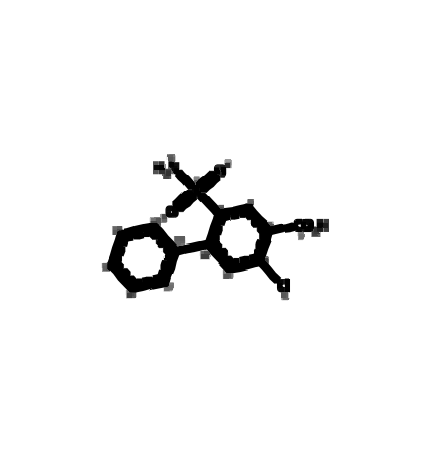 NS(=O)(=O)c1cc(C(=O)O)c(Cl)cc1-c1ccccc1